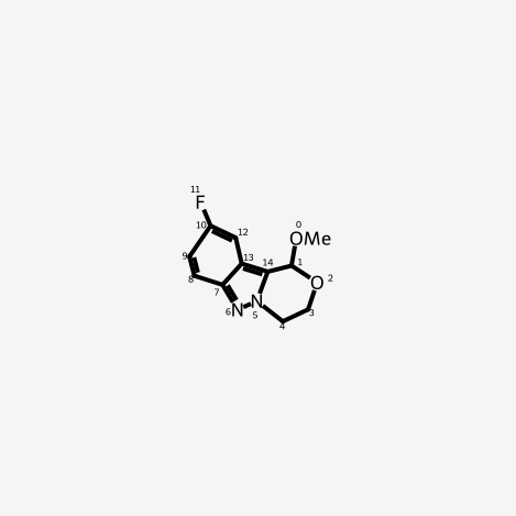 COC1OCCn2nc3ccc(F)cc3c21